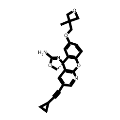 CC1(COc2ccc3c(c2)[C@@]2(COC(N)=N2)c2cc(C#CC4CC4)cnc2O3)COC1